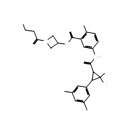 Cc1cc(Cl)cc(C2C(C(=O)Nc3ccc(Cl)c(C(=O)NC4CN(C(=O)CCC(F)(F)F)C4)c3)C2(Cl)Cl)c1